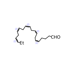 CC/C=C\C/C=C\C/C=C\C/C=C\C/C=C\CCCC=O